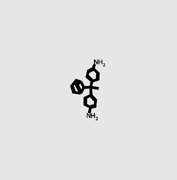 CC(c1ccc(N)cc1)(c1ccc(N)cc1)C1C2=CC=CC1=C2